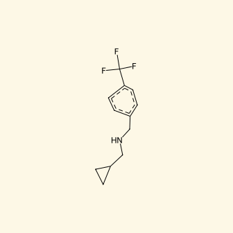 FC(F)(F)c1ccc(CNCC2CC2)cc1